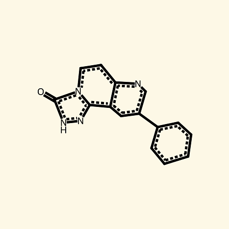 O=c1[nH]nc2c3cc(-c4ccccc4)cnc3ccn12